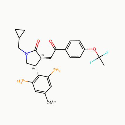 COc1cc(P)c([C@@H]2CN(CC3CC3)C(=O)[C@H]2CC(=O)c2ccc(OC(C)(F)F)cc2)c(P)c1